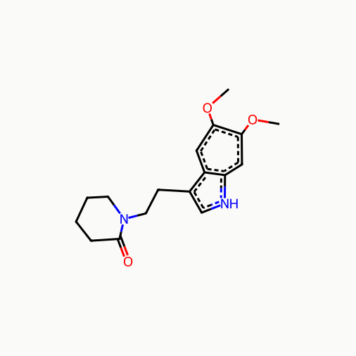 COc1cc2[nH]cc(CCN3CCCCC3=O)c2cc1OC